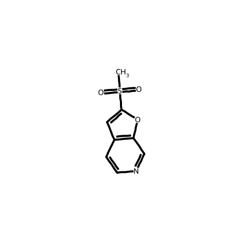 CS(=O)(=O)c1cc2ccncc2o1